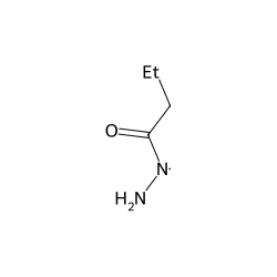 CCCC(=O)[N]N